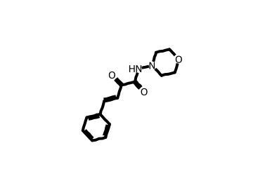 O=C(/C=C/c1ccccc1)C(=O)NN1CCOCC1